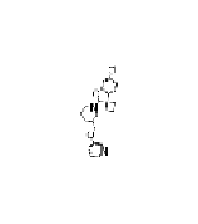 O=C(N1CCCC(COc2cccnc2)C1)C1(c2ccc(Cl)cc2)CCC1